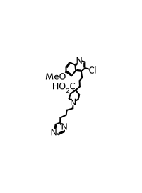 COc1ccc2ncc(Cl)c(CCCC3(C(=O)O)CCN(CCCCc4cnccn4)CC3)c2c1